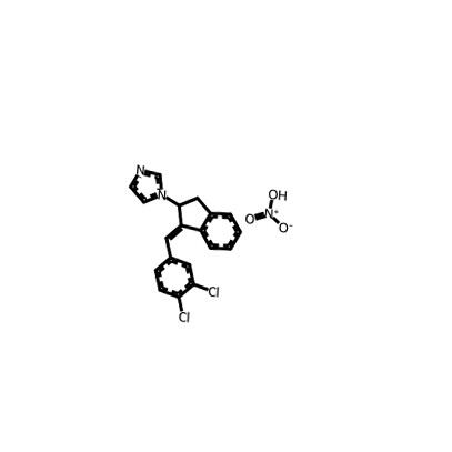 Clc1ccc(/C=C2\c3ccccc3CC2n2ccnc2)cc1Cl.O=[N+]([O-])O